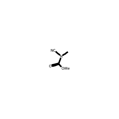 COC(=O)N(C)C#N